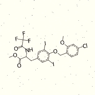 COC(=O)C(Cc1cc(I)c(OCc2ccc(Cl)cc2OC)c(I)c1)NC(=O)C(F)(F)F